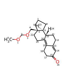 COCOC[C@@]12CCC[C@H]1[C@@H]1CCC3=CC(=O)CCC3=C1CC2